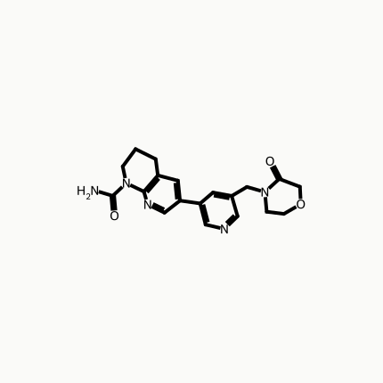 NC(=O)N1CCCc2cc(-c3cncc(CN4CCOCC4=O)c3)cnc21